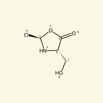 O=C1O[C@H](Cl)N[C@H]1CO